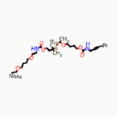 CNCCOCCCCOCCNC(=O)OCCC(C)(C)SSC(C)OCCCCOC(=O)NCC#CC(C)C